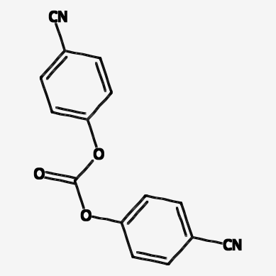 N#Cc1ccc(OC(=O)Oc2ccc(C#N)cc2)cc1